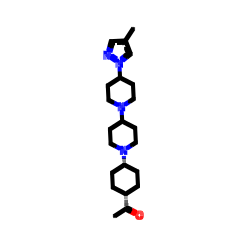 Cc1cnn(C2CCN(C3CCN([C@H]4CC[C@@H](C(C)=O)CC4)CC3)CC2)c1